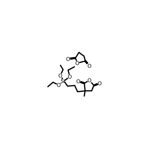 CCO[Si](CCCC1(C)CC(=O)OC1=O)(OCC)OCC.O=C1CCC(=O)O1